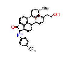 CC(C)(C)c1ccc(-c2ccc3c4c(ccc(-c5ccc(CCO)cc5)c24)/C(=N\c2ccc(C(F)(F)F)cc2)C3=O)cc1